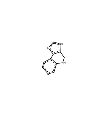 c1cc2c(cn1)NCc1[nH]cnc1-2